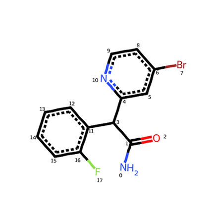 NC(=O)C(c1cc(Br)ccn1)c1ccccc1F